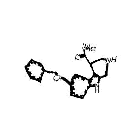 CNC(=O)C1CNCc2[nH]c3ccc(OCc4ccccc4)cc3c21